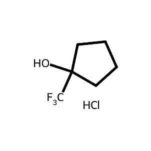 Cl.OC1(C(F)(F)F)CCCC1